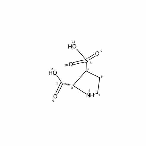 O=C(O)[C@H]1NCCC1S(=O)(=O)O